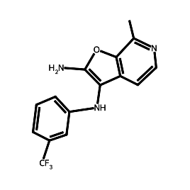 Cc1nccc2c(Nc3cccc(C(F)(F)F)c3)c(N)oc12